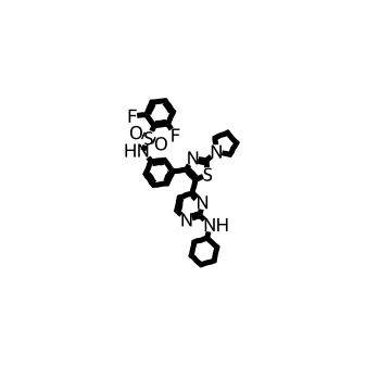 O=S(=O)(Nc1cccc(-c2nc(N3CCCC3)sc2-c2ccnc(NC3CCCCC3)n2)c1)c1c(F)cccc1F